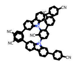 N#Cc1ccc(-c2ccc3c4ccc(-c5ccc(C#N)cc5)cc4n(-c4ccc(-c5cccc(C#N)c5)c(-n5c6cc(-c7ccc(C#N)cc7)ccc6c6ccc(-c7ccc(C#N)cc7)cc65)c4C#N)c3c2)cc1